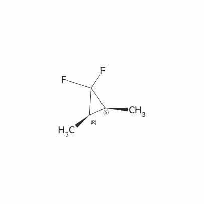 C[C@@H]1[C@H](C)C1(F)F